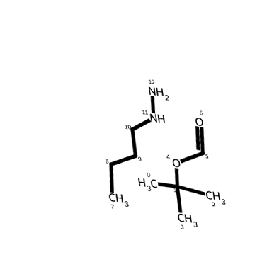 CC(C)(C)OC=O.CCCCNN